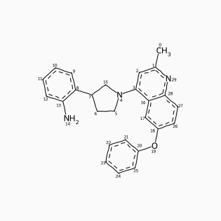 Cc1cc(N2CCC(c3ccccc3N)C2)c2cc(Oc3ccccc3)ccc2n1